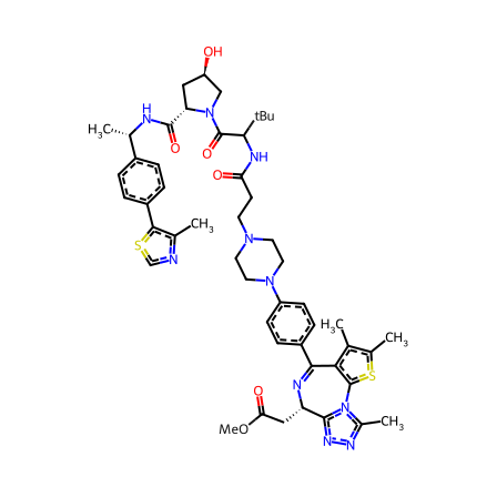 COC(=O)C[C@@H]1N=C(c2ccc(N3CCN(CCC(=O)NC(C(=O)N4C[C@H](O)C[C@H]4C(=O)N[C@@H](C)c4ccc(-c5scnc5C)cc4)C(C)(C)C)CC3)cc2)c2c(sc(C)c2C)-n2c(C)nnc21